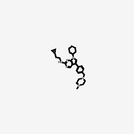 CN1CCN(Cc2ccc(-c3cn(C4CCCCC4)c4nc(NCCC5CC5)ncc34)cc2)CC1